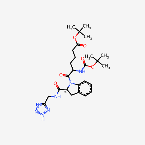 CC(C)(C)OC(=O)CCCC(NC(=O)OC(C)(C)C)C(=O)N1c2ccccc2C[C@H]1C(=O)NCc1nn[nH]n1